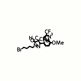 COc1ccc(C2=NN(CCCCBr)C(=O)C2(C)C)n2cc(C(F)(F)F)nc12